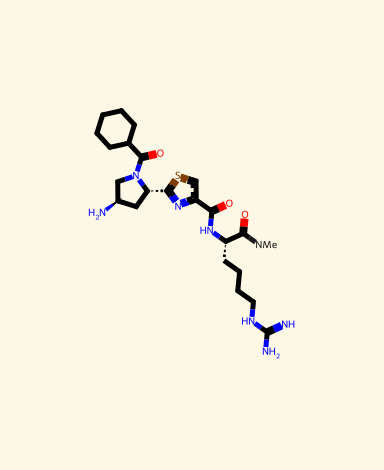 CNC(=O)[C@H](CCCCNC(=N)N)NC(=O)c1csc([C@@H]2C[C@@H](N)CN2C(=O)C2CCCCC2)n1